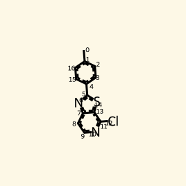 Cc1ccc(-c2nc3ccnc(Cl)c3s2)cc1